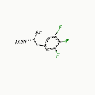 CN[C@@H](Cc1cc(F)c(F)c(F)c1)C(C)=O